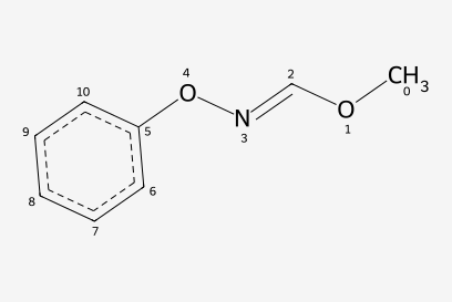 COC=NOc1ccccc1